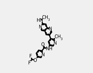 CNc1cc2ncc(-c3cc(NC(=O)c4ccc(OC(F)F)cn4)cnc3C)cc2cn1